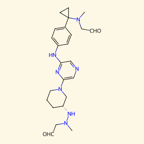 CN(CC=O)N[C@@H]1CCCN(c2cncc(Nc3ccc(C4(N(C)CC=O)CC4)cc3)n2)C1